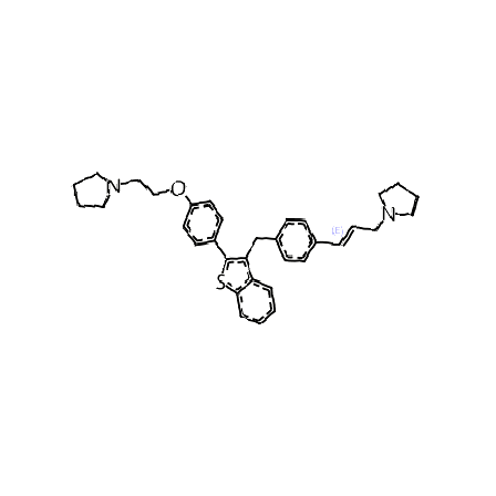 C(=C\c1ccc(Cc2c(-c3ccc(OCCN4CCCC4)cc3)sc3ccccc23)cc1)/CN1CCCC1